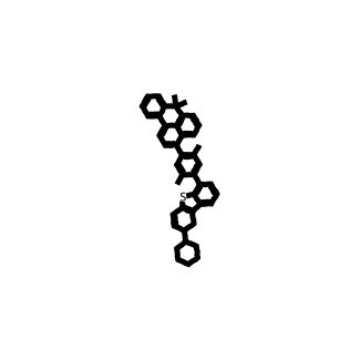 Cc1cc(-c2cccc3c4c(sc23)C=CC(C2CCCCC2)C4)c(C)cc1-c1ccc2c3c(cccc13)C(C)(C)c1ccccc1-2